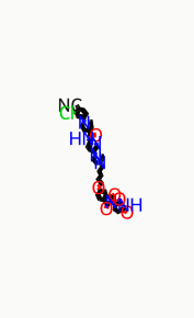 N#Cc1ccc(N2CCC(C(=O)Nc3ccc(N4CCN(CCCCCOc5ccc6c(c5)C(=O)N(C5CCC(=O)NC5=O)C6=O)CC4)cn3)CC2)cc1Cl